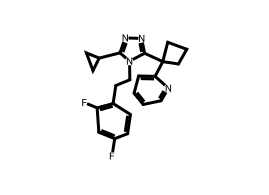 Fc1ccc(CCn2c(C3CC3)nnc2C2(c3ccccn3)CCC2)c(F)c1